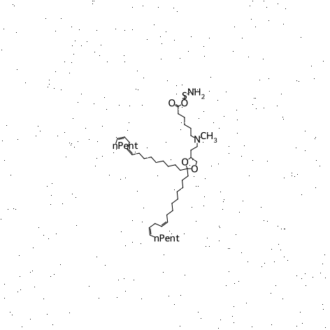 CCCCC/C=C\C/C=C\CCCCCCCCC1(CCCCCCCC/C=C\C/C=C\CCCCC)OCC(CCN(C)CCCCCC(=O)OSN)O1